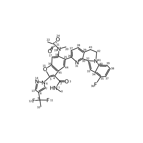 CNC(=O)c1c(-n2cc(C(C)(F)F)cn2)oc2cc(N(C)S(C)(=O)=O)c(-c3ccc4c(n3)-c3cc5c(F)cccc5n3CC4)cc12